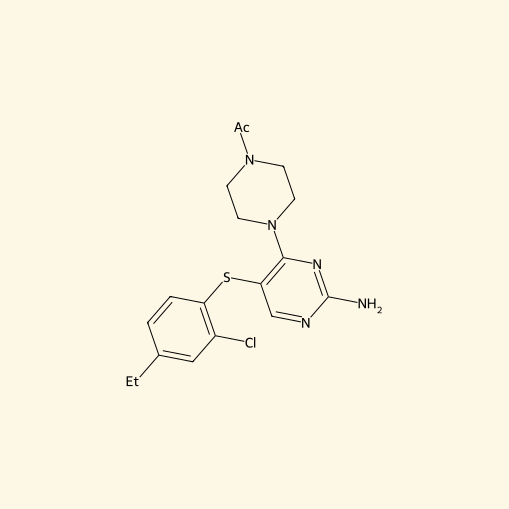 CCc1ccc(Sc2cnc(N)nc2N2CCN(C(C)=O)CC2)c(Cl)c1